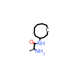 C[C@H](N)C(=O)NC1CCCCCCCCC1